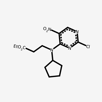 CCOC(=O)CCN(c1nc(Cl)ncc1[N+](=O)[O-])C1CCCC1